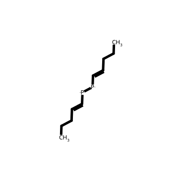 CCCC=C[P][P]C=CCCC